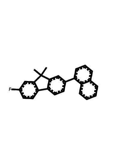 CC1(C)c2cc(F)ccc2-c2ccc(-c3cccc4ccccc34)cc21